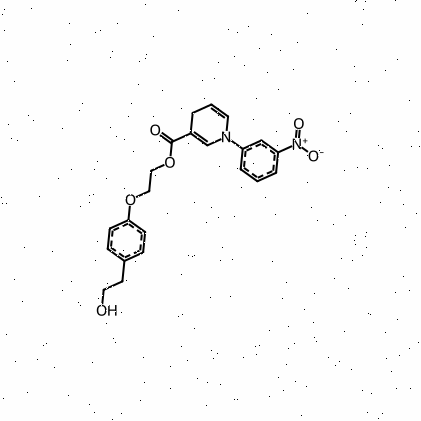 O=C(OCCOc1ccc(CCO)cc1)C1=CN(c2cccc([N+](=O)[O-])c2)C=CC1